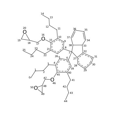 CCCCc1cc(C2(c3cc(CCCC)c(OCC4CO4)c(CCCC)c3)c3ccccc3C3C=CC=CC32)cc(CCCC)c1OCC1CO1